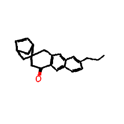 CCCc1ccc2cc3c(cc2c1)CC1(CC3=O)CC2C=CC1C2